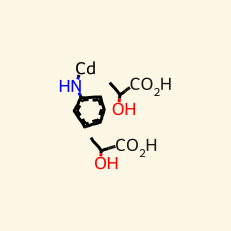 CC(O)C(=O)O.CC(O)C(=O)O.[Cd][NH]c1ccccc1